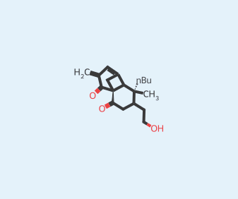 C=C1C=C2C[C@@]3(C(=O)CC(CCO)[C@@](C)(CCCC)C23)C1=O